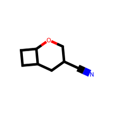 N#CC1COC2CCC2C1